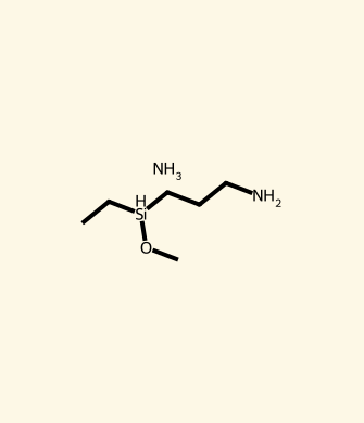 CC[SiH](CCCN)OC.N